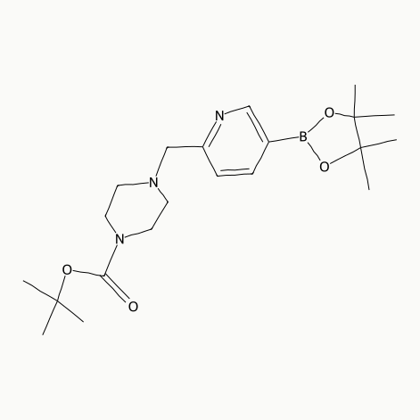 CC(C)(C)OC(=O)N1CCN(Cc2ccc(B3OC(C)(C)C(C)(C)O3)cn2)CC1